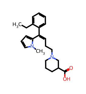 CCc1ccccc1C(=CCCN1CCCC(C(=O)O)C1)c1cccn1C